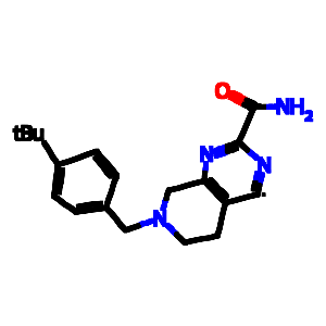 CC(C)(C)c1ccc(CN2CCc3[c]nc(C(N)=O)nc3C2)cc1